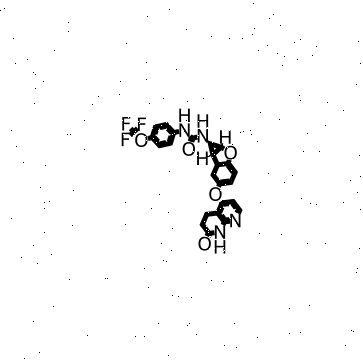 O=C1CCc2c(OC3=CC=C4O[C@@H]5[C@@H](NC(=O)Nc6ccc(OC(F)(F)F)cc6)[C@@H]5C4C3)ccnc2N1